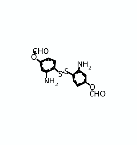 Nc1cc(OC=O)ccc1SSc1ccc(OC=O)cc1N